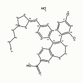 Cl.O=C(O)c1ccc2c(c1)CCCC(c1ccc(Cl)cc1Cl)=C2c1ccc(C=C2CCN(CCCF)C2)cc1